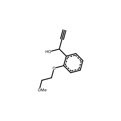 C#CC(O)c1ccccc1OCCOC